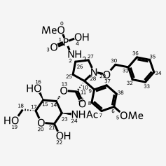 COP(N)(=O)O.COc1ccc([C@@]2(C(=O)O[C@H]3[C@H](O)[C@@H](CO)OC(O)[C@@H]3NC(C)=O)CCCN2OCc2ccccc2)cc1